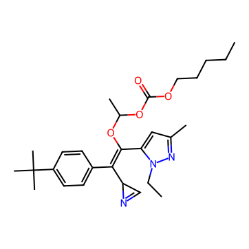 CCCCCOC(=O)OC(C)O/C(=C(\c1ccc(C(C)(C)C)cc1)C1C=N1)c1cc(C)nn1CC